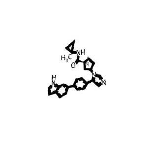 CC1(NC(=O)[C@H]2CCC(n3cncc3-c3ccc(-c4ccc5cc[nH]c5c4)cc3)C2)CC1